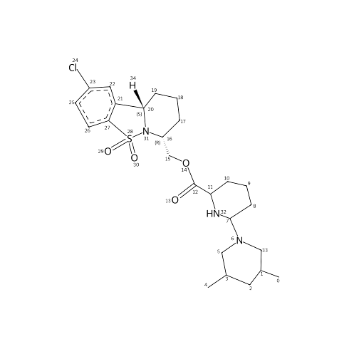 CC1CC(C)CN(C2CCCC(C(=O)OC[C@H]3CCC[C@H]4c5cc(Cl)ccc5S(=O)(=O)N34)N2)C1